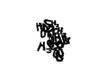 Cc1cc(C)c(CNC(=O)c2cc(Br)cc3c2C(C)OC2(CCCC2)O3)c(=O)[nH]1